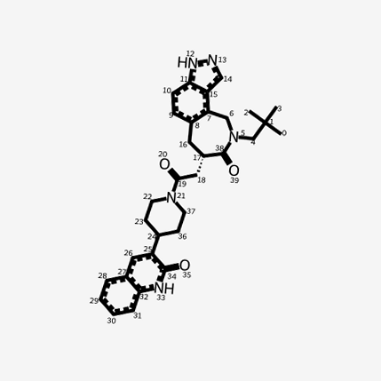 CC(C)(C)CN1Cc2c(ccc3[nH]ncc23)C[C@@H](CC(=O)N2CCC(c3cc4ccccc4[nH]c3=O)CC2)C1=O